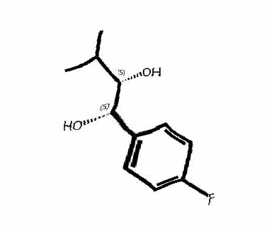 CC(C)[C@H](O)[C@@H](O)c1ccc(F)cc1